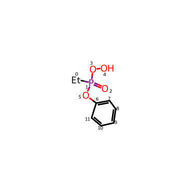 CCP(=O)(OO)Oc1ccccc1